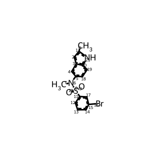 Cc1cc2cc(N(C)S(=O)(=O)c3cccc(Br)c3)ccc2[nH]1